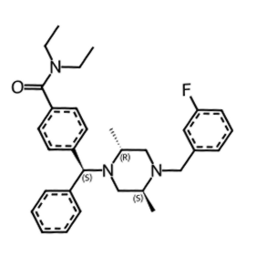 CCN(CC)C(=O)c1ccc([C@H](c2ccccc2)N2C[C@H](C)N(Cc3cccc(F)c3)C[C@H]2C)cc1